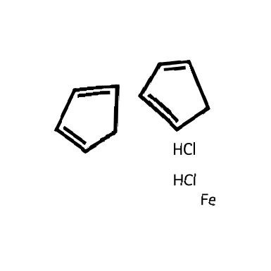 C1=CCC=C1.C1=CCC=C1.Cl.Cl.[Fe]